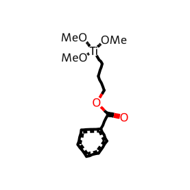 C[O][Ti]([CH2]CCOC(=O)c1ccccc1)([O]C)[O]C